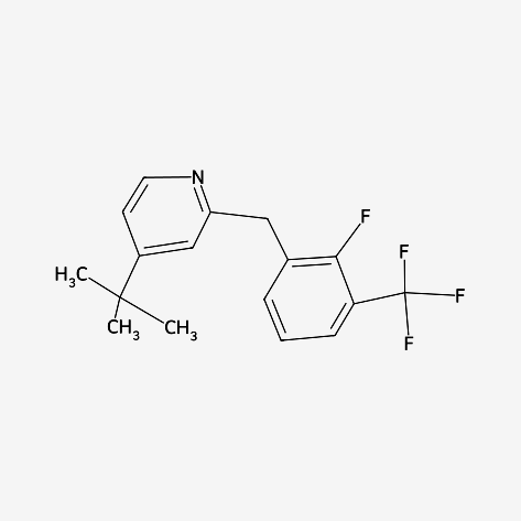 CC(C)(C)c1ccnc(Cc2cccc(C(F)(F)F)c2F)c1